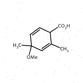 COC1(C)C=CC(C(=O)O)C(C)=C1